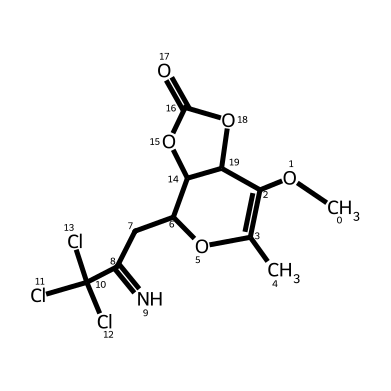 COC1=C(C)OC(CC(=N)C(Cl)(Cl)Cl)C2OC(=O)OC12